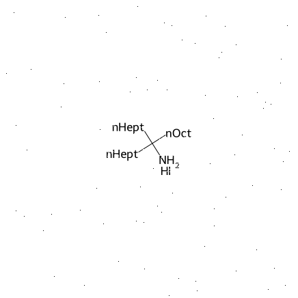 CCCCCCCCC(N)(CCCCCCC)CCCCCCC.I